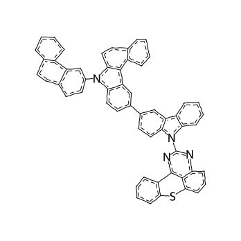 c1ccc2c(c1)Sc1cccc3nc(-n4c5ccccc5c5cc(-c6ccc7c(c6)c6c8ccccc8ccc6n7-c6ccc7ccc8ccccc8c7c6)ccc54)nc-2c13